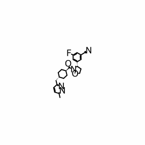 Cc1ccc(C[C@H]2CC[C@H](C(=O)N3OCC[C@H]3c3cc(F)cc(C#N)c3)CC2)nn1